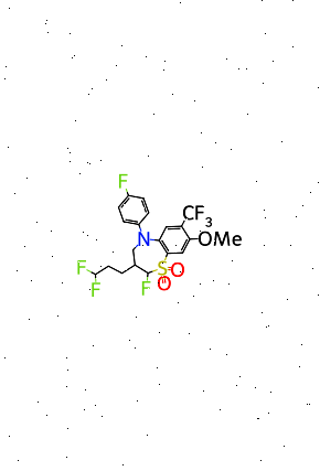 COc1cc2c(cc1C(F)(F)F)N(c1ccc(F)cc1)CC(CCC(F)F)C(F)S2(=O)=O